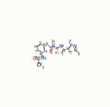 Cc1nc(C)c(-c2csc(NC(=O)Cc3cccc(NC(=O)C(F)(F)F)c3)n2)s1